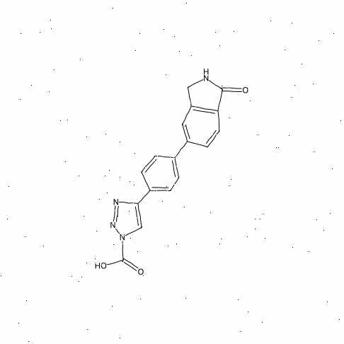 O=C1NCc2cc(-c3ccc(-c4cn(C(=O)O)nn4)cc3)ccc21